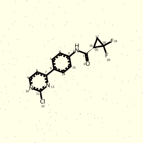 O=C(Nc1ccc(-c2ccnc(Cl)n2)cc1)[C@@H]1CC1(F)F